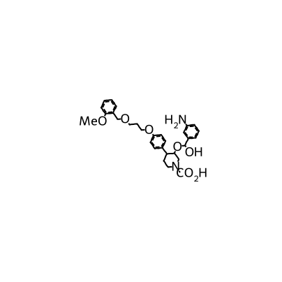 COc1ccccc1COCCCOc1ccc(C2CCN(C(=O)O)CC2OC(O)c2cccc(N)c2)cc1